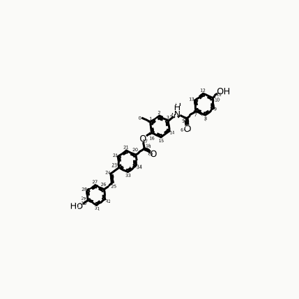 Cc1cc(NC(=O)c2ccc(O)cc2)ccc1OC(=O)c1ccc(/C=C/c2ccc(O)cc2)cc1